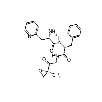 C[C@]1(C(=O)CNC(=O)[C@H](Cc2ccccc2)NC(=O)[C@@H](N)Cc2ccccn2)CO1